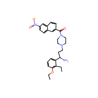 CCOc1cccc(C(N)CCN2CCN(C(=O)c3ccc4cc([N+](=O)[O-])ccc4c3)CC2)c1CC